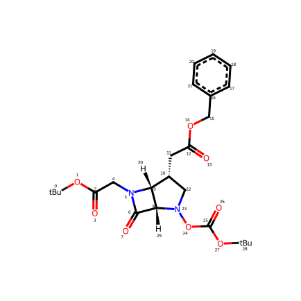 CC(C)(C)OC(=O)CN1C(=O)[C@@H]2[C@H]1[C@H](CC(=O)OCc1ccccc1)CN2OC(=O)OC(C)(C)C